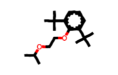 CC(C)OCCOc1c(C(C)(C)C)cccc1C(C)(C)C